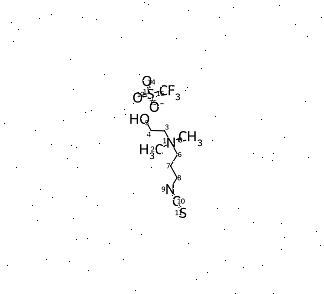 C[N+](C)(CCO)CCCN=C=S.O=S(=O)([O-])C(F)(F)F